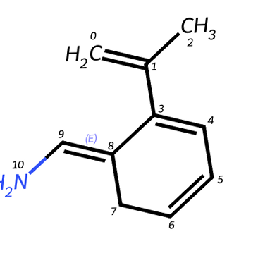 C=C(C)C1=CC=CC/C1=C\N